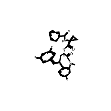 CN1C(=O)[C@H](NC(=O)C2(NC(=O)c3ccccc3)CC2)CC(Cc2cc(F)cc(F)c2)c2ccc(F)cc21